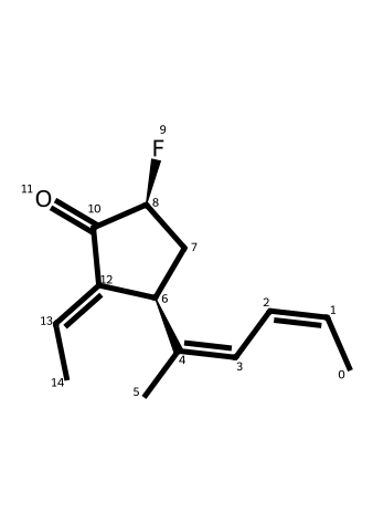 C/C=C\C=C(\C)[C@@H]1C[C@H](F)C(=O)/C1=C/C